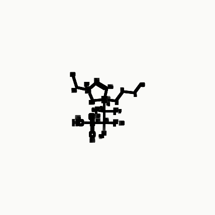 CCCC[N+]1(C(F)(F)C(F)(F)S(=O)(=O)O)C=CN(CC)C1